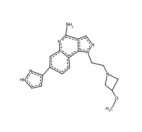 COC1CN(CCn2ncc3c(N)nc4cc(-c5cc[nH]n5)ccc4c32)C1